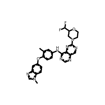 Cc1cc(Nc2ncnc3cnc(N4CCOC(C(F)F)C4)nc23)ccc1Oc1ccc2c(c1)ncn2C